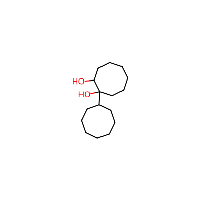 OC1CCCCCCC1(O)C1CCCCCCC1